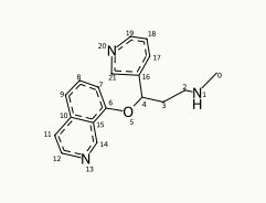 CNCCC(Oc1cccc2ccncc12)c1cccnc1